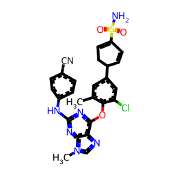 Cc1cc(C2C=CC(S(N)(=O)=O)=CC2)cc(Cl)c1Oc1nc(Nc2ccc(C#N)cc2)nc2c1ncn2C